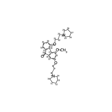 COc1cc(OCCCN2CCCCC2)cc2c1-c1c(OCCCN3CCCCC3)cccc1C2=O